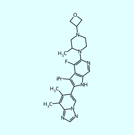 Cc1c(-c2[nH]c3cnc(N4CCN(C5COC5)CC4C)c(F)c3c2C(C)C)cn2ncnc2c1C